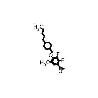 CCCCCC1CCC(COc2c(C)cc(C3CO3)c(F)c2F)CC1